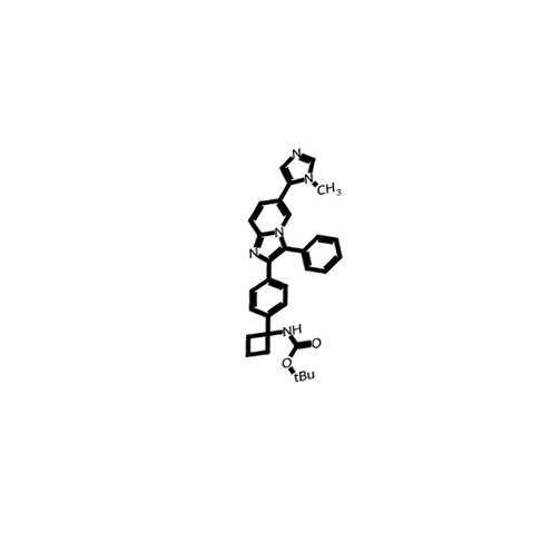 Cn1cncc1-c1ccc2nc(-c3ccc(C4(NC(=O)OC(C)(C)C)CCC4)cc3)c(-c3ccccc3)n2c1